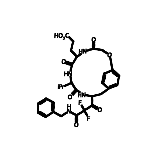 CC(C)C1NC(=O)C(CCC(=O)O)NC(=O)COc2ccc(cc2)CC(C(=O)C(F)(F)C(=O)NCc2ccccc2)NC1=O